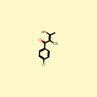 CCC/C(C)=C(/C#N)C(=O)c1ccc(Cl)cc1